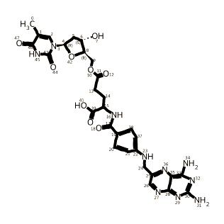 Cc1cn([C@H]2C[C@H](O)[C@@H](COC(=O)CCC(NC(=O)c3ccc(NCc4cnc5nc(N)nc(N)c5n4)cc3)C(=O)O)O2)c(=O)[nH]c1=O